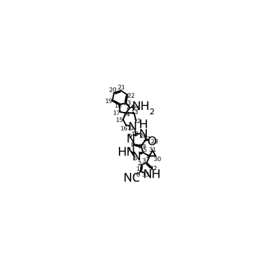 N#Cc1cc(C2(c3n[nH]c4nc(N5CCC6(CC5)Cc5ccccc5[C@H]6N)[nH]c(=O)c34)CC2)c[nH]1